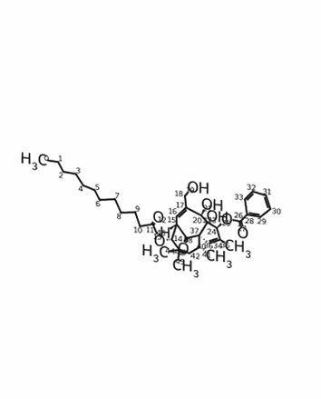 CCCCCCCCCCCC(=O)O[C@@H]1[C@@H]2C=C(CO)[C@@H](O)[C@]3(O)[C@@H](OC(=O)c4ccccc4)C(C)=C[C@@]3(C2=O)[C@H](C)CC1(C)C